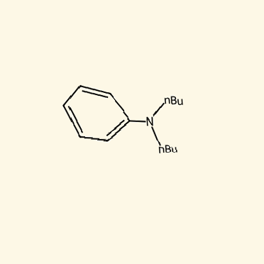 [CH2]CCCN(CCCC)c1ccccc1